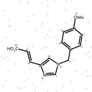 COc1ccc(Cn2cnc(C=CC(=O)O)c2)cc1